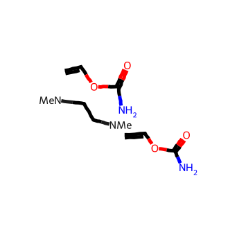 C=COC(N)=O.C=COC(N)=O.CNCCNC